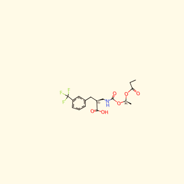 CCC(=O)O[C@@H](C)OC(=O)NC[C@H](Cc1cccc(C(F)(F)F)c1)C(=O)O